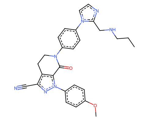 CCCNCc1nccn1-c1ccc(N2CCc3c(C#N)nn(-c4ccc(OC)cc4)c3C2=O)cc1